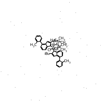 CCC(C)C1=Cc2c(-c3ccccc3C)cccc2[CH]1[Zr]([Cl])([Cl])([BH]N([Si](C)(C)C)[Si](C)(C)C)[CH]1C(C(C)CC)=Cc2c(-c3ccccc3C)cccc21